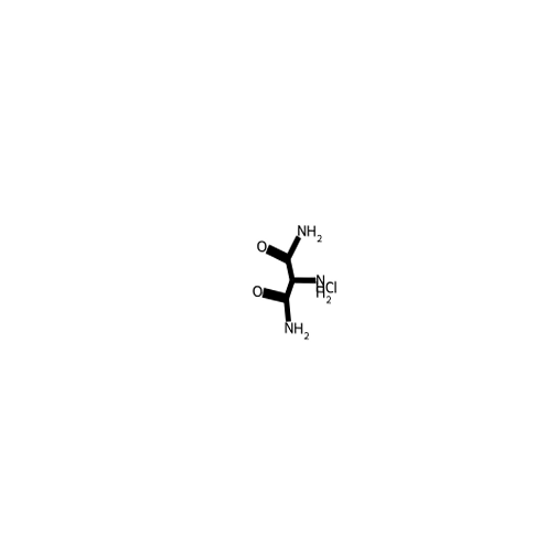 Cl.NC(=O)C(N)C(N)=O